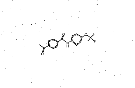 CC(=O)c1ccc(C(=O)Nc2ccc(OC(F)(F)F)cc2)cc1